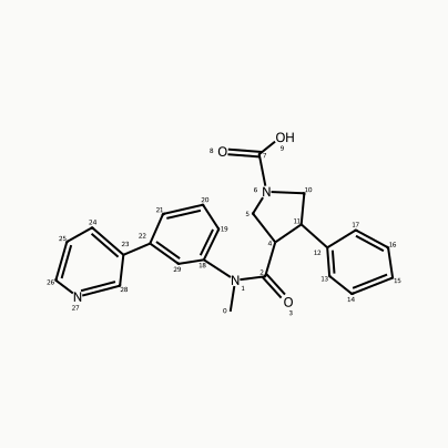 CN(C(=O)C1CN(C(=O)O)CC1c1ccccc1)c1cccc(-c2cccnc2)c1